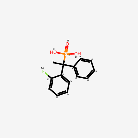 CC(c1ccccc1)(c1ccccc1F)P(=O)(O)O